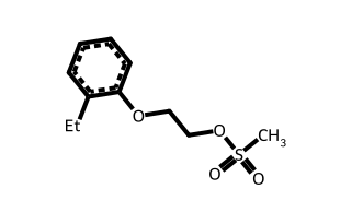 CCc1ccccc1OCCOS(C)(=O)=O